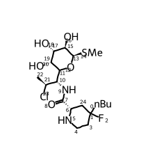 CCCCC1(F)CCN[C@H](C(=O)N[C@@H](C2O[C@H](SC)[C@H](O)[C@@H](O)[C@H]2O)[C@H](C)Cl)C1